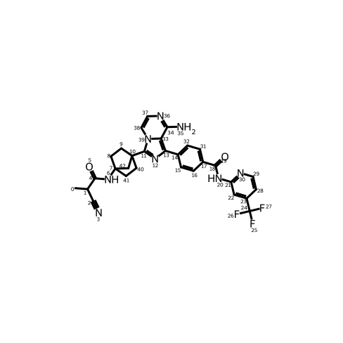 CC(C#N)C(=O)NC12CCC(c3nc(-c4ccc(C(=O)Nc5cc(C(F)(F)F)ccn5)cc4)c4c(N)nccn34)(CC1)C2